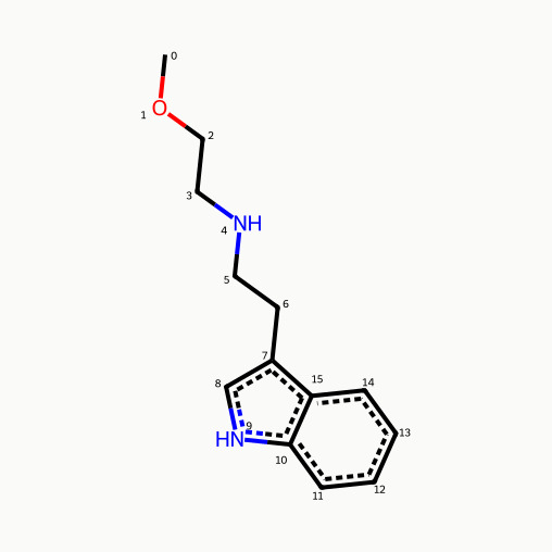 COCCNCCc1c[nH]c2ccccc12